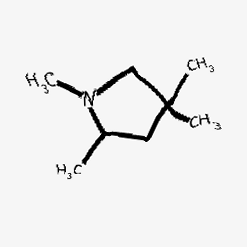 CC1CC(C)(C)CN1C